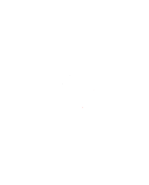 O=C1CCC(O)C(O)C1